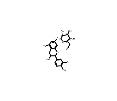 OC[C@H]1O[C@H](Oc2cc(O)c3c(c2)OC(c2ccc(O)c(O)c2)C(O)C3)[C@H](O)[C@@H](O)[C@@H]1O